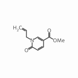 C=CCn1cc(C(=O)OC)ccc1=O